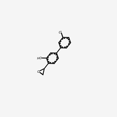 Oc1cc(-c2cccc(Cl)c2)ccc1C1CO1